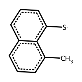 Cc1cccc2cccc([S])c12